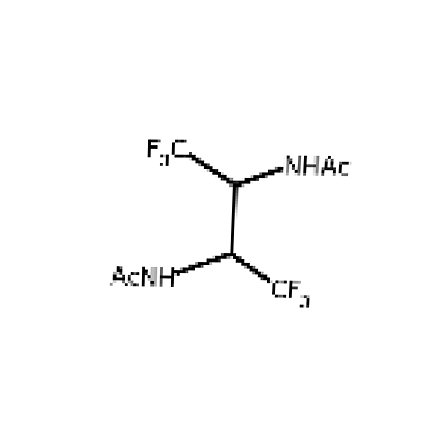 CC(=O)NC(C(NC(C)=O)C(F)(F)F)C(F)(F)F